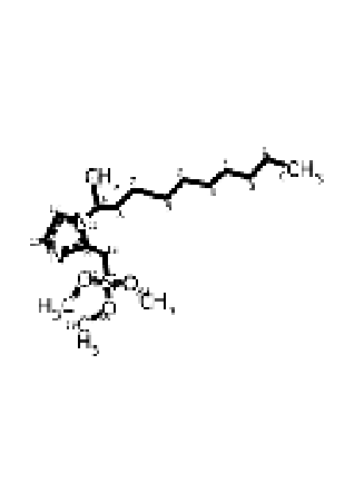 CCCCCCCCCC(C)n1ccnc1C[Si](OC)(OC)OC